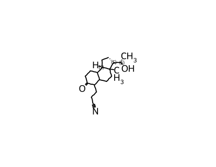 C[C@H](O)[C@H]1CC[C@H]2C3CCC(=O)C(CCC#N)C3CCC12C